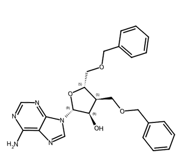 Nc1ncnc2c1ncn2[C@@H]1O[C@H](COCc2ccccc2)[C@@H](COCc2ccccc2)[C@H]1O